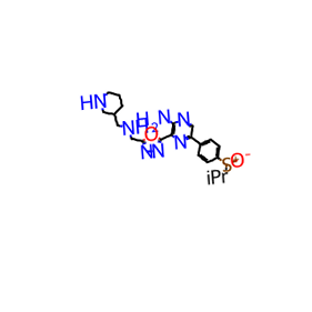 CC(C)[S+]([O-])c1ccc(-c2cnc(N)c(-c3nnc(CNCC4CCCNC4)o3)n2)cc1